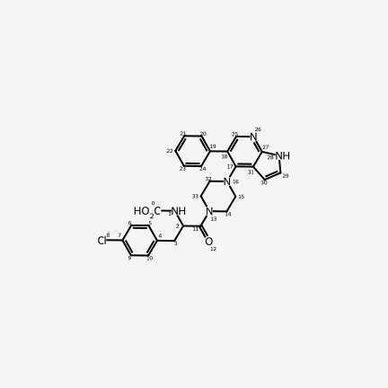 O=C(O)NC(Cc1ccc(Cl)cc1)C(=O)N1CCN(c2c(-c3ccccc3)cnc3[nH]ccc23)CC1